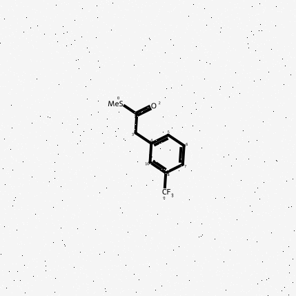 CSC(=O)Cc1cccc(C(F)(F)F)c1